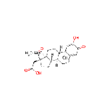 CC(=O)[C@@]1(CC(=O)O)CC[C@H]2[C@@H]3CCC4=CC(=O)C(O)=C[C@]4(C)[C@H]3CC[C@@]21C